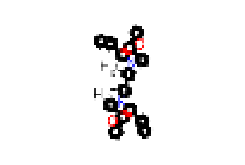 Cc1cc(-c2ccc(N(c3ccc(-c4ccc5ccccc5c4)cc3)c3ccccc3-c3cccc4c3oc3ccccc34)c(C)c2)ccc1N(c1ccc(-c2ccc3ccccc3c2)cc1)c1ccccc1-c1cccc2c1oc1ccccc12